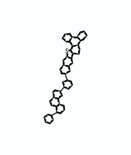 c1ccc(-c2cccc3c2ccc2ccc(-c4cccc(-c5ccc6cc7sc8c(ccc9c%10ccccc%10c%10ccccc%10c98)c7cc6c5)c4)cc23)cc1